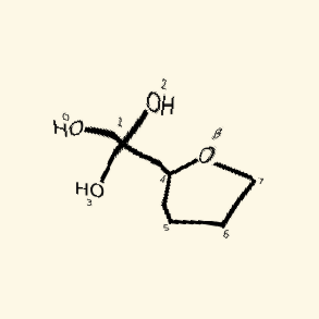 OC(O)(O)C1CC[CH]O1